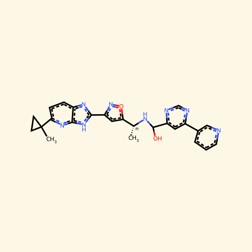 C[C@@H](NC(O)c1cc(-c2cccnc2)ncn1)c1cc(-c2nc3ccc(C4(C)CC4)nc3[nH]2)no1